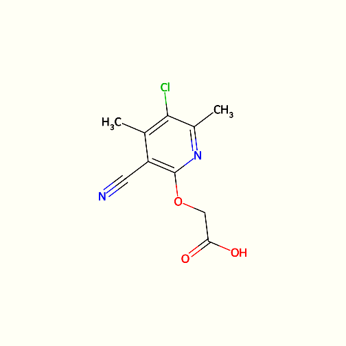 Cc1nc(OCC(=O)O)c(C#N)c(C)c1Cl